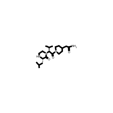 CC(C)C[C@@H]1NCCN([C@H](C(=O)N2CCC(CC(N)=O)CC2)C(C)C)C1=O